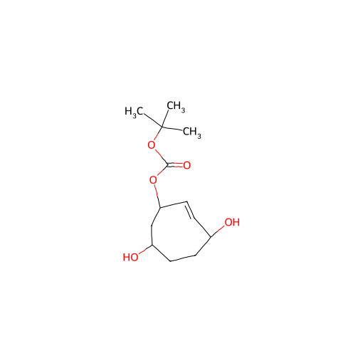 CC(C)(C)OC(=O)OC1/C=C/C(O)CCC(O)C1